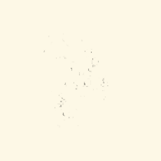 COc1ccccc1C[Si](C)(C)O[Si](C)(O[Si](C)(C)C)O[Si](C)(C)C[Si](C)(C)O[Si](C)(C)C